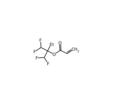 C=CC(=O)OC(CC)(C(F)F)C(F)F